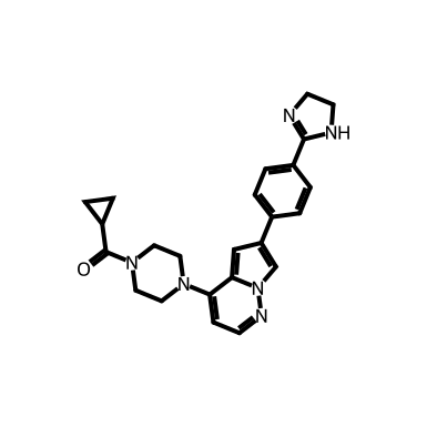 O=C(C1CC1)N1CCN(c2ccnn3cc(-c4ccc(C5=NCCN5)cc4)cc23)CC1